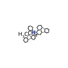 CC1(C)c2ccccc2-c2ccc3c4cc5c6c(cccc6c4n(-c4ccccc4)c3c21)-c1ccccc1-5